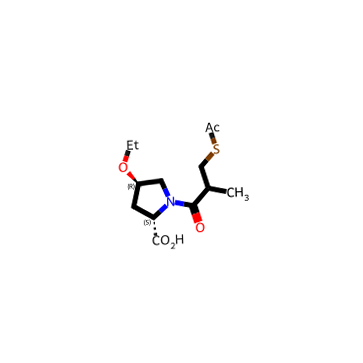 CCO[C@@H]1C[C@@H](C(=O)O)N(C(=O)C(C)CSC(C)=O)C1